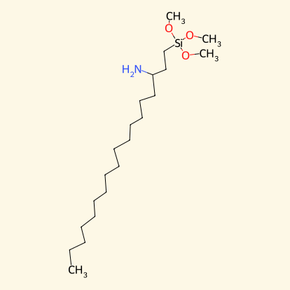 CCCCCCCCCCCCCCCC(N)CC[Si](OC)(OC)OC